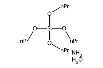 CCCO[Si](OCCC)(OCCC)OCCC.N.O